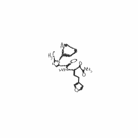 Cc1ncc(C(=O)NC(CCc2ccoc2)C(=O)C(N)=O)n1-c1ccccn1